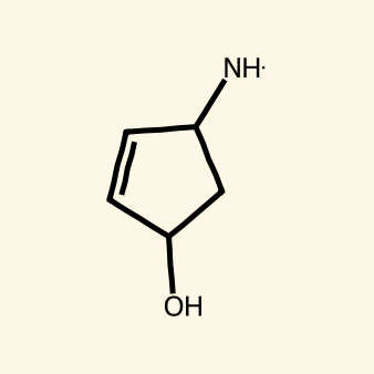 [NH]C1C=CC(O)C1